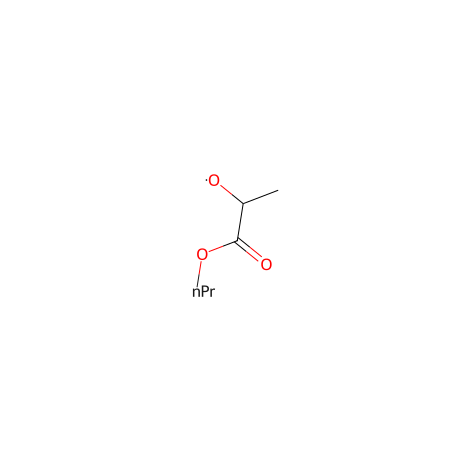 CCCOC(=O)C(C)[O]